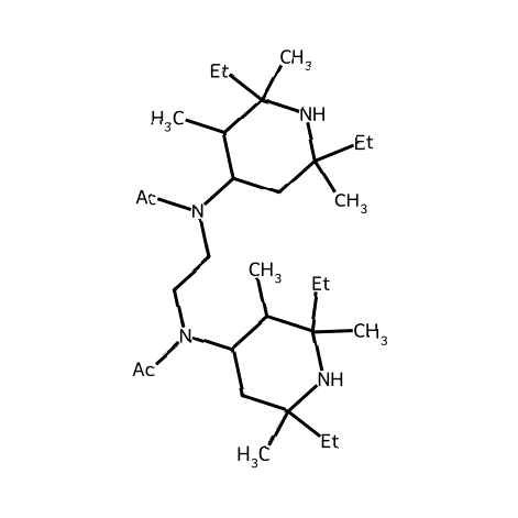 CCC1(C)CC(N(CCN(C(C)=O)C2CC(C)(CC)NC(C)(CC)C2C)C(C)=O)C(C)C(C)(CC)N1